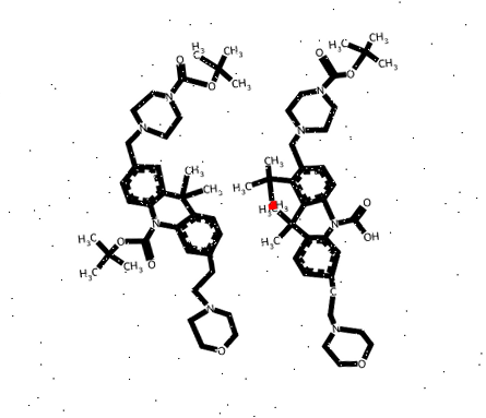 CC(C)(C)OC(=O)N1CCN(Cc2ccc3c(c2)C(C)(C)c2ccc(CCN4CCOCC4)cc2N3C(=O)OC(C)(C)C)CC1.CC(C)(C)OC(=O)N1CCN(Cc2ccc3c(c2C(C)(C)C)C(C)(C)c2ccc(CCN4CCOCC4)cc2N3C(=O)O)CC1